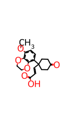 COc1ccc(C2(/C=C/C(=O)O)CCC(=O)CC2)c2c1OCCO2